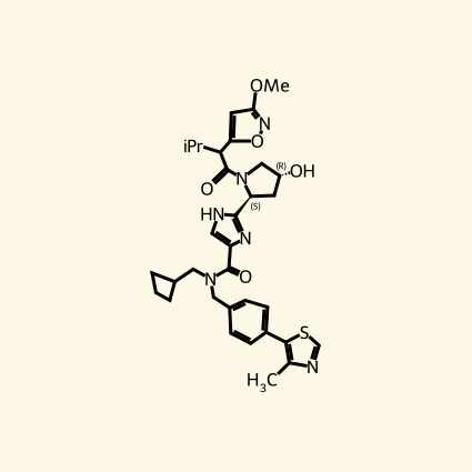 COc1cc(C(C(=O)N2C[C@H](O)C[C@H]2c2nc(C(=O)N(Cc3ccc(-c4scnc4C)cc3)CC3CCC3)c[nH]2)C(C)C)on1